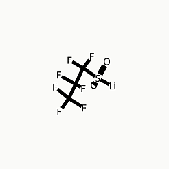 [Li][S](=O)(=O)C(F)(F)C(F)(F)C(F)(F)F